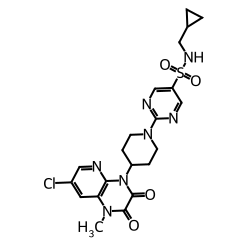 Cn1c(=O)c(=O)n(C2CCN(c3ncc(S(=O)(=O)NCC4CC4)cn3)CC2)c2ncc(Cl)cc21